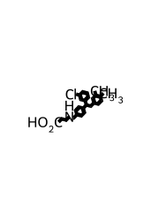 Cc1ccc(CC(c2ccc(CNCCC(=O)O)cc2)c2cccc(Cl)c2)cc1C